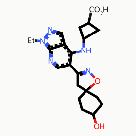 CCn1ncc2c(NC3CC(C(=O)O)C3)c(C3=NOC4(CCC(O)CC4)C3)cnc21